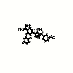 CC(=O)N1CCC[C@H](Cn2ncc(-c3cc(Sc4ncccc4F)c4c(C#N)cnn4c3)c2C)C1